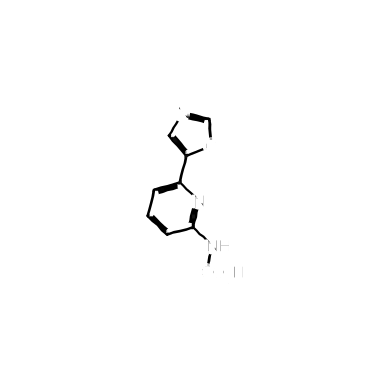 O=C(O)Nc1cccc(-c2cnco2)n1